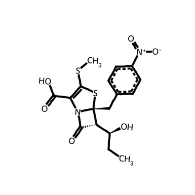 CC[C@H](O)[C@@H]1C(=O)N2C(C(=O)O)=C(SC)S[C@]12Cc1ccc([N+](=O)[O-])cc1